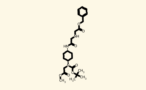 COC(=O)CN(C(=O)OC(C)(C)C)[C@H]1CC[C@H](NC(=O)CNCC(=O)OCc2ccccc2)CC1